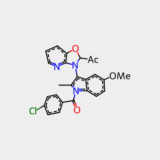 COc1ccc2c(c1)c(N1c3ncccc3OC1C(C)=O)c(C)n2C(=O)c1ccc(Cl)cc1